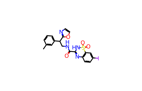 Cc1cccc(C(CNC(=O)C2=Nc3ccc(I)cc3S(=O)(=O)N2)c2ncco2)c1